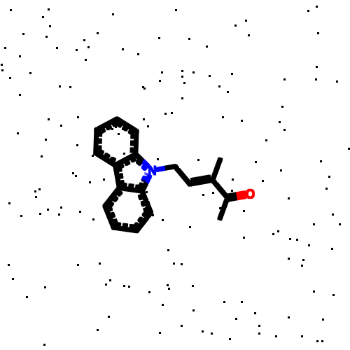 CC(=O)/C(C)=C/Cn1c2ccccc2c2ccccc21